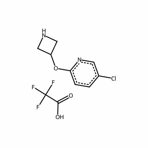 Clc1ccc(OC2CNC2)nc1.O=C(O)C(F)(F)F